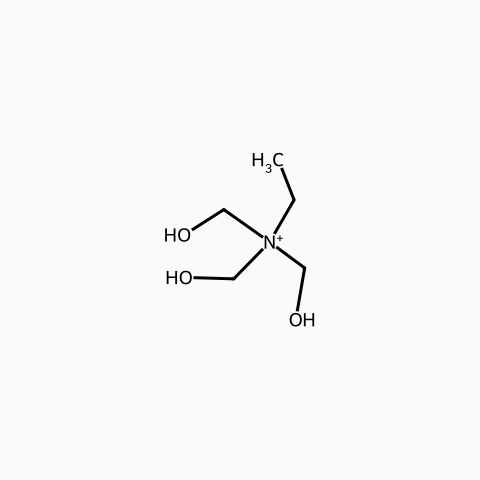 CC[N+](CO)(CO)CO